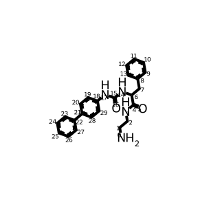 NCCNC(=O)C(Cc1ccccc1)NC(=O)Nc1ccc(-c2ccccc2)cc1